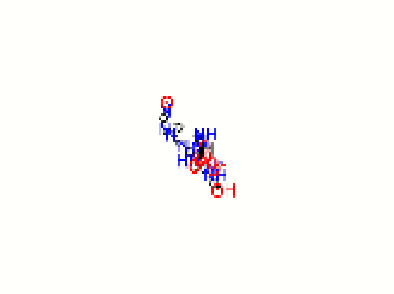 Cc1ccccc1[C@@H]1CN(Cc2ccc(N3CCOC[C@H]3C)cc2)CCN1C1CC2(CCN(c3ccc(C(=O)NS(=O)(=O)c4ccc(NCC5CCC(C)(O)CC5)c([N+](=O)[O-])c4)c(N4c5cc6cc[nH]c6nc5O[C@H]5COCC[C@@H]54)c3)CC2)C1